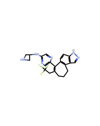 FC(F)(F)CC1=C(c2cnc(NC3CNC3)cn2)c2ccc3[nH]ncc3c2CCC1